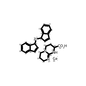 C1=C[CH]([Zr][CH]2C=Cc3ccccc32)c2ccccc21.O=C(O)C1CCN2CCCN=C2N1.[Ga]